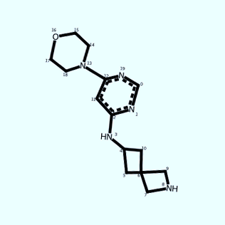 c1nc(NC2CC3(CNC3)C2)cc(N2CCOCC2)n1